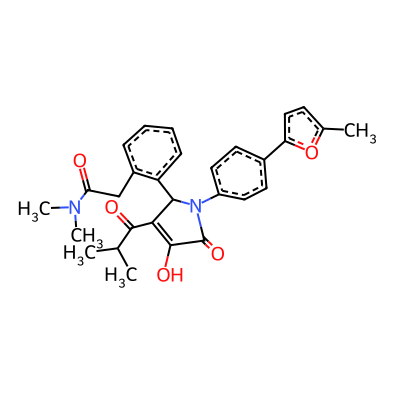 Cc1ccc(-c2ccc(N3C(=O)C(O)=C(C(=O)C(C)C)C3c3ccccc3CC(=O)N(C)C)cc2)o1